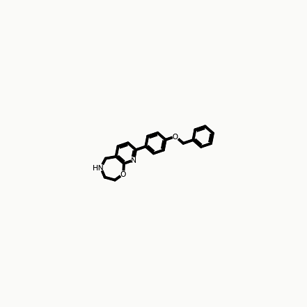 c1ccc(COc2ccc(-c3ccc4c(n3)OCCNC4)cc2)cc1